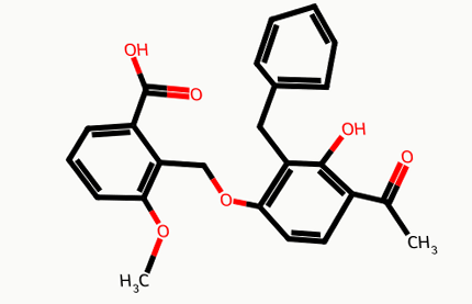 COc1cccc(C(=O)O)c1COc1ccc(C(C)=O)c(O)c1Cc1ccccc1